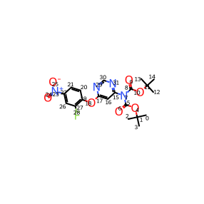 CC(C)(C)OC(=O)N(C(=O)OC(C)(C)C)c1cc(Oc2ccc([N+](=O)[O-])cc2F)ncn1